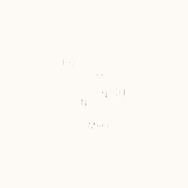 COCCN(C)C(=O)c1ncccc1CO